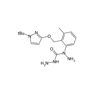 Cc1cccc(N(N)C(=O)NN)c1COc1ccn(C(C)(C)C)n1